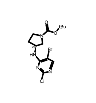 CC(C)(C)OC(=O)N1CC[C@H](Nc2nc(Cl)ncc2Br)C1